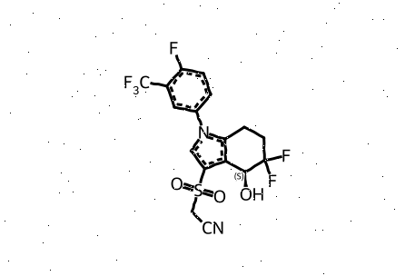 N#CCS(=O)(=O)c1cn(-c2ccc(F)c(C(F)(F)F)c2)c2c1[C@H](O)C(F)(F)CC2